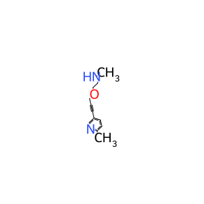 CNCCOCC#Cc1ccc(C)nc1